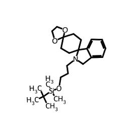 CC(C)(C)[Si](C)(C)OCCCN1Cc2ccccc2C12CCC1(CC2)OCCO1